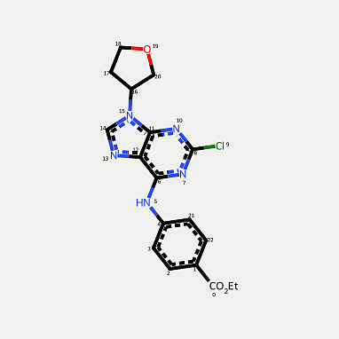 CCOC(=O)c1ccc(Nc2nc(Cl)nc3c2ncn3C2CCOC2)cc1